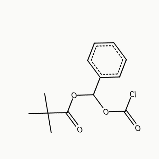 CC(C)(C)C(=O)OC(OC(=O)Cl)c1ccccc1